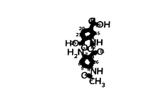 CC(=O)Nc1ccc(N)c(C(=O)ONc2cc(C(=O)O)ccc2C(=O)O)c1